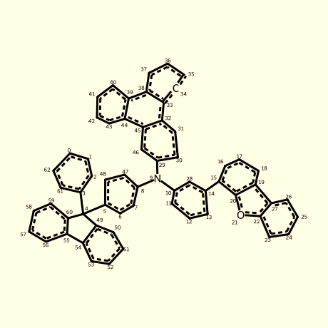 c1ccc(C2(c3ccc(N(c4cccc(-c5cccc6c5oc5ccccc56)c4)c4ccc5c6ccccc6c6ccccc6c5c4)cc3)c3ccccc3-c3ccccc32)cc1